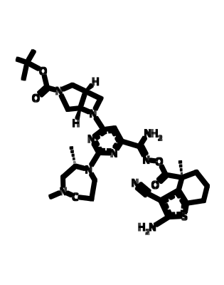 C[C@H]1CN(C)CCCN1c1nc(/C(N)=N/OC(=O)[C@@]2(C)CCCc3sc(N)c(C#N)c32)cc(N2C[C@H]3CN(C(=O)OC(C)(C)C)C[C@H]32)n1